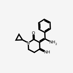 N=C1CCN(C2CC2)C(=O)/C1=C(/N)c1ccccc1